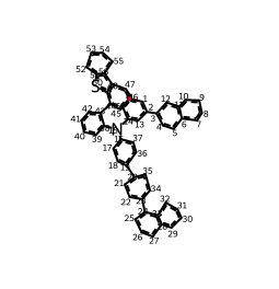 c1cc(-c2ccc3ccccc3c2)cc(N(c2ccc(-c3ccc(-c4cccc5ccccc45)cc3)cc2)c2ccccc2-c2cccc3c2sc2ccccc23)c1